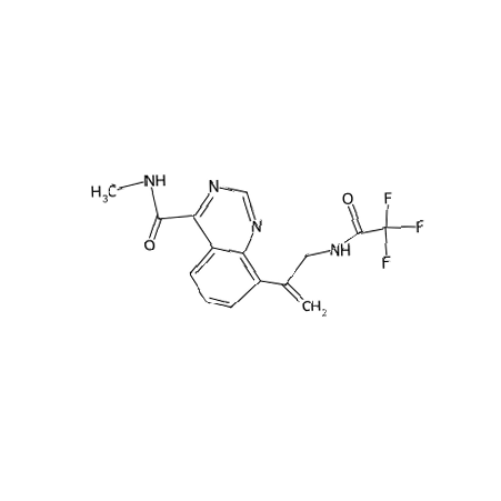 C=C(CNC(=O)C(F)(F)F)c1cccc2c(C(=O)NC)ncnc12